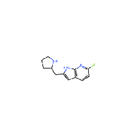 Fc1ccc2cc(CC3CCCN3)[nH]c2n1